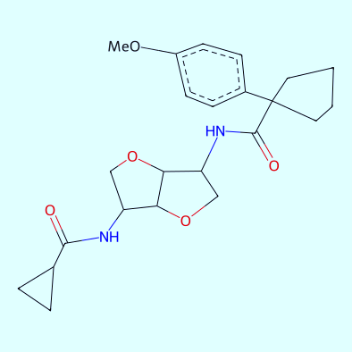 COc1ccc(C2(C(=O)NC3COC4C(NC(=O)C5CC5)COC34)CCCC2)cc1